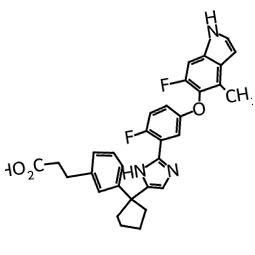 Cc1c(Oc2ccc(F)c(-c3ncc(C4(c5cccc(CCC(=O)O)c5)CCCC4)[nH]3)c2)c(F)cc2[nH]ccc12